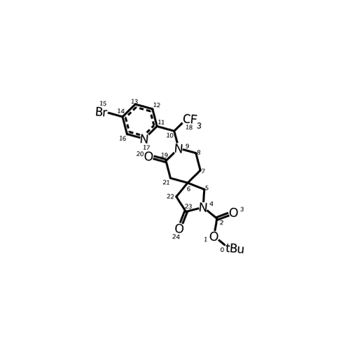 CC(C)(C)OC(=O)N1CC2(CCN(C(c3ccc(Br)cn3)C(F)(F)F)C(=O)C2)CC1=O